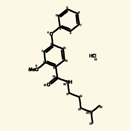 COc1cc(Oc2ccccc2)ccc1C(=O)NCCCN(C)C.Cl